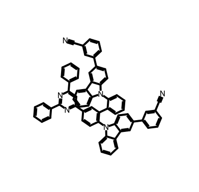 N#Cc1cccc(-c2ccc3c(c2)c2ccccc2n3-c2ccccc2-c2cc(-c3cc(-c4ccccc4)nc(-c4ccccc4)n3)ccc2-n2c3ccccc3c3cc(-c4cccc(C#N)c4)ccc32)c1